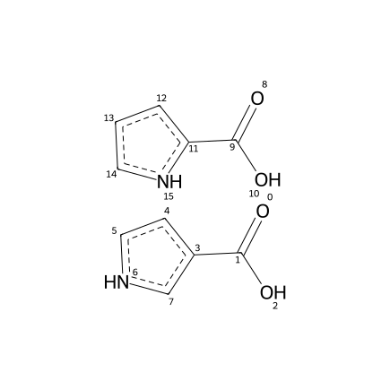 O=C(O)c1cc[nH]c1.O=C(O)c1ccc[nH]1